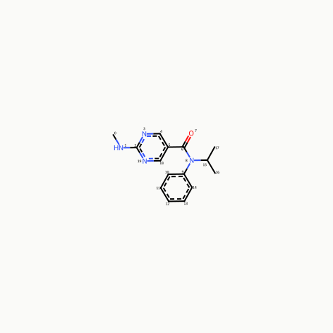 CNc1ncc(C(=O)N(c2ccccc2)C(C)C)cn1